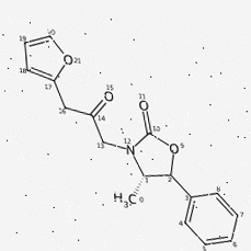 C[C@H]1C(c2ccccc2)OC(=O)N1CC(=O)Cc1ccco1